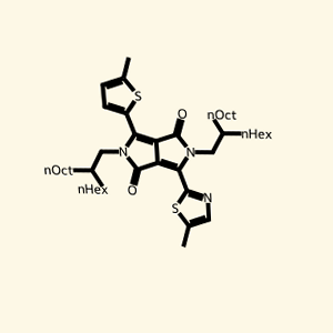 CCCCCCCCC(CCCCCC)CN1C(=O)C2=C(c3ncc(C)s3)N(CC(CCCCCC)CCCCCCCC)C(=O)C2=C1c1ccc(C)s1